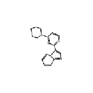 c1ccn2c(-c3nccc(C4CCCCC4)n3)cnc2c1